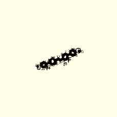 COc1ccc(-c2ccc(CCC3CC=C(c4ccc(OC)cc4F)CC3)c(F)c2F)cc1